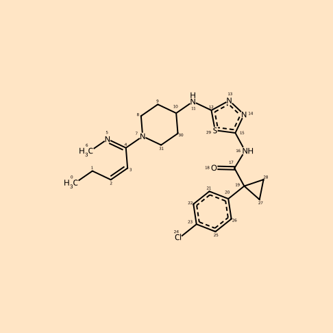 CC/C=C\C(=N/C)N1CCC(Nc2nnc(NC(=O)C3(c4ccc(Cl)cc4)CC3)s2)CC1